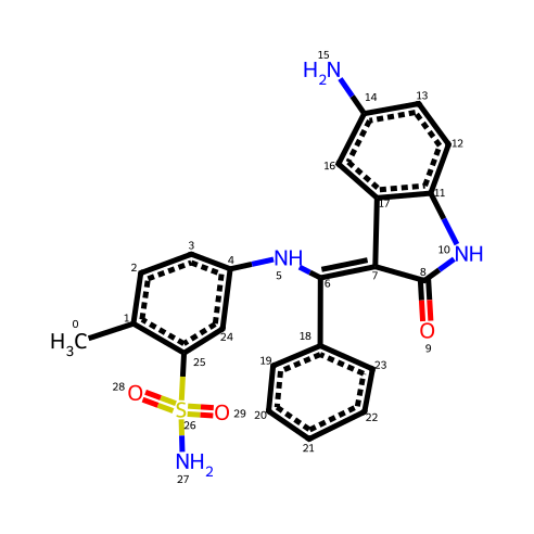 Cc1ccc(NC(=C2C(=O)Nc3ccc(N)cc32)c2ccccc2)cc1S(N)(=O)=O